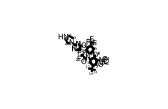 COc1c(NS(C)(=O)=O)cc(C(C)(C)C)cc1N(C(=O)C(F)(F)F)c1ccc(C(F)(F)F)c(Oc2ccnc(N3CCNCC3)n2)c1